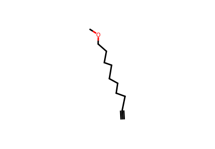 C#CCCCCCCCCOC